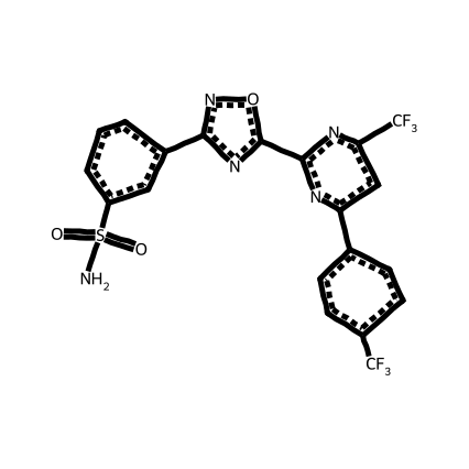 NS(=O)(=O)c1cccc(-c2noc(-c3nc(-c4ccc(C(F)(F)F)cc4)cc(C(F)(F)F)n3)n2)c1